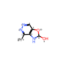 CC(C)c1nncc2c1NC(O)O2